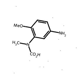 COc1ccc(N)cc1N(C)C(=O)O